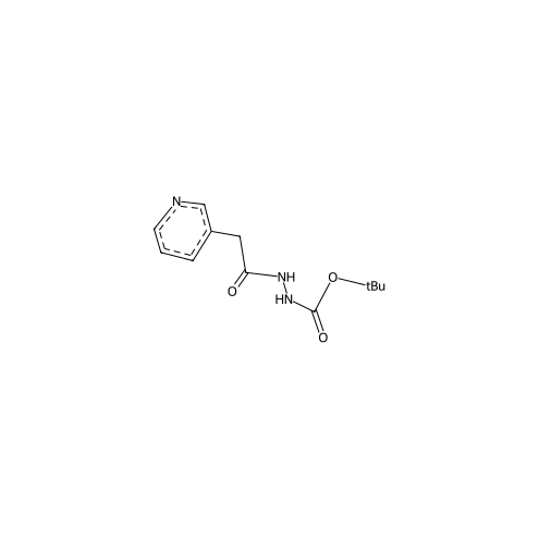 CC(C)(C)OC(=O)NNC(=O)Cc1cccnc1